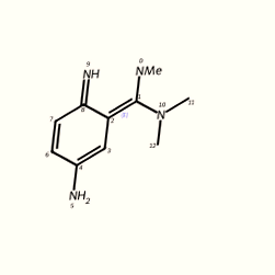 CN/C(=C1/C=C(N)C=CC1=N)N(C)C